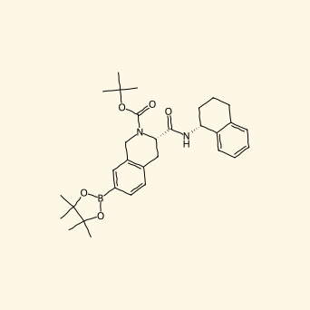 CC(C)(C)OC(=O)N1Cc2cc(B3OC(C)(C)C(C)(C)O3)ccc2C[C@H]1C(=O)N[C@@H]1CCCc2ccccc21